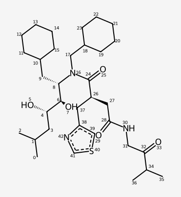 CC(C)C[C@H](O)[C@H](O)[C@H](CC1CCCCC1)N(CC1CCCCC1)C(=O)[C@@H](CC(=O)NCC(=O)C(C)C)Cc1cscn1